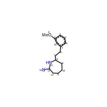 COc1cccc(CCC2CCCCC([N])N2)c1